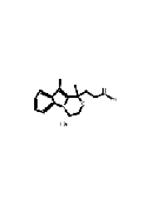 Br.CCNCCC1(C)OCCn2c1c(C)c1ccccc12